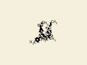 CCCCOC(=O)N1CCN(C(=O)[C@@H](NC(=O)c2cc(N3CC4C(C3)C4C(=O)OCC)nc(-c3ccc(C)cc3)n2)C(C)C)CC1